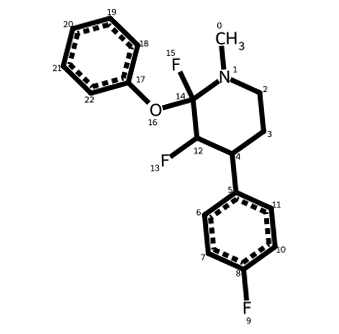 CN1CCC(c2ccc(F)cc2)C(F)C1(F)Oc1ccccc1